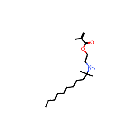 C=C(C)C(=O)OCCNC(C)(C)CCCCCCCCC